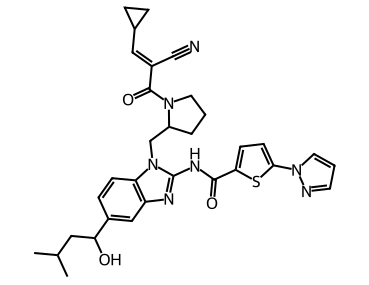 CC(C)CC(O)c1ccc2c(c1)nc(NC(=O)c1ccc(-n3cccn3)s1)n2CC1CCCN1C(=O)C(C#N)=CC1CC1